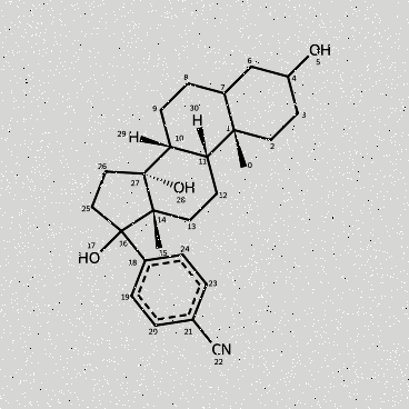 C[C@]12CCC(O)CC1CC[C@@H]1[C@H]2CC[C@]2(C)C(O)(c3ccc(C#N)cc3)CC[C@@]12O